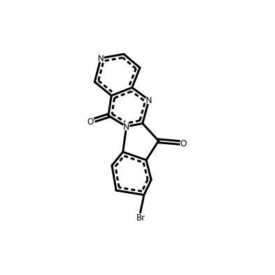 O=C1c2cc(Br)ccc2-n2c1nc1ccncc1c2=O